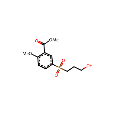 COC(=O)c1cc(S(=O)(=O)CCCO)ccc1OC